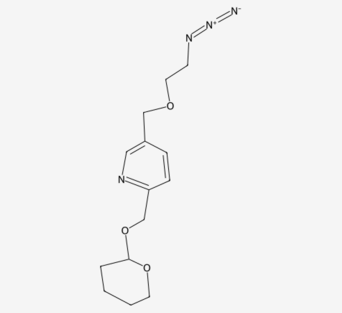 [N-]=[N+]=NCCOCc1ccc(COC2CCCCO2)nc1